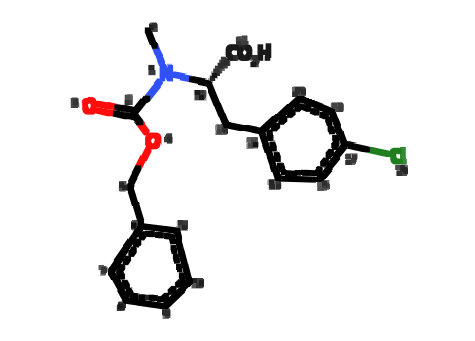 CN(C(=O)OCc1ccccc1)[C@@H](Cc1ccc(Cl)cc1)C(=O)O